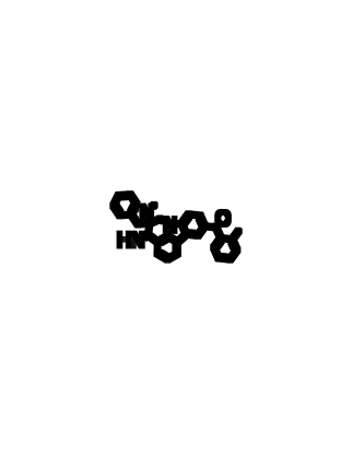 Cc1ccccc1C(=O)c1ccc2c(c1)c1cccc3c1n2CC(Cc1ccccc1)(N(C)C)C3=N